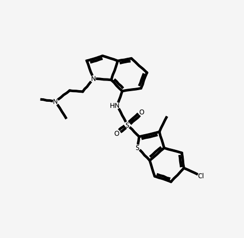 Cc1c(S(=O)(=O)Nc2cccc3ccn(CCN(C)C)c23)sc2ccc(Cl)cc12